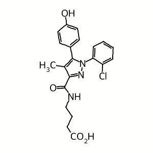 Cc1c(C(=O)NCCCC(=O)O)nn(-c2ccccc2Cl)c1-c1ccc(O)cc1